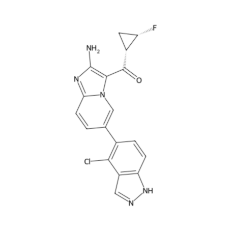 Nc1nc2ccc(-c3ccc4[nH]ncc4c3Cl)cn2c1C(=O)[C@@H]1C[C@@H]1F